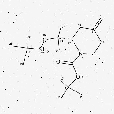 C=C1CCN(C(=O)OC(C)(C)C)[C@H](C(C)(C)O[SiH2]C(C)(C)C)C1